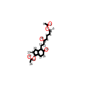 CC(=O)O[C@H](C)CCCC(=O)CCC1C(=O)CCC2C1C[C@H](C)[C@@H]2OC(C)=O